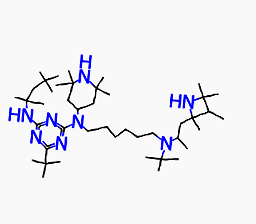 CC(CC1(C)NC(C)(C)C1C)N(CCCCCCN(c1nc(NC(C)(C)CC(C)(C)C)nc(C(C)(C)C)n1)C1CC(C)(C)NC(C)(C)C1)C(C)(C)C